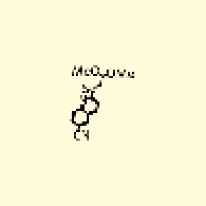 COC(C[Se]c1ccc2cc(C#N)ccc2n1)OC